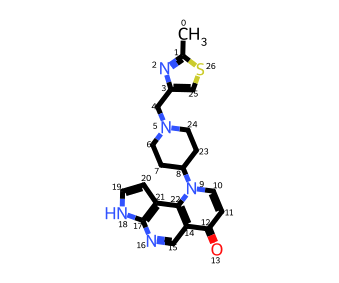 Cc1nc(CN2CCC(n3ccc(=O)c4cnc5[nH]ccc5c43)CC2)cs1